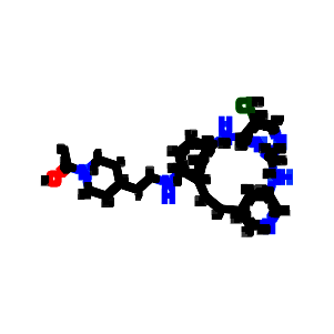 CC(=O)N1CCC(CCNc2ccc3cc2CCc2cncc(c2)Nc2ncc(Cl)c(n2)N3)CC1